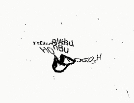 CCCC[N+](CCCC)(CCCC)CCCC.O=S(=O)(O)O.Oc1cccc2ccccc12